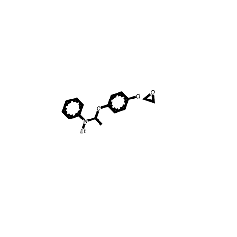 C1CO1.CCN(c1ccccc1)C(C)Oc1ccc(Cl)cc1